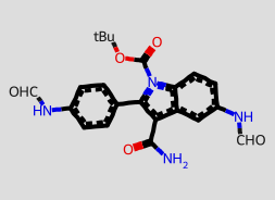 CC(C)(C)OC(=O)n1c(-c2ccc(NC=O)cc2)c(C(N)=O)c2cc(NC=O)ccc21